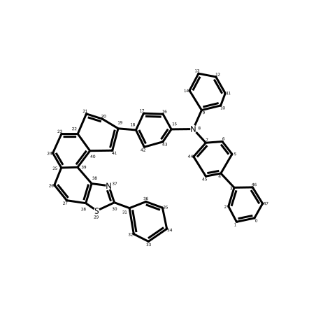 c1ccc(-c2ccc(N(c3ccccc3)c3ccc(-c4ccc5ccc6ccc7sc(-c8ccccc8)nc7c6c5c4)cc3)cc2)cc1